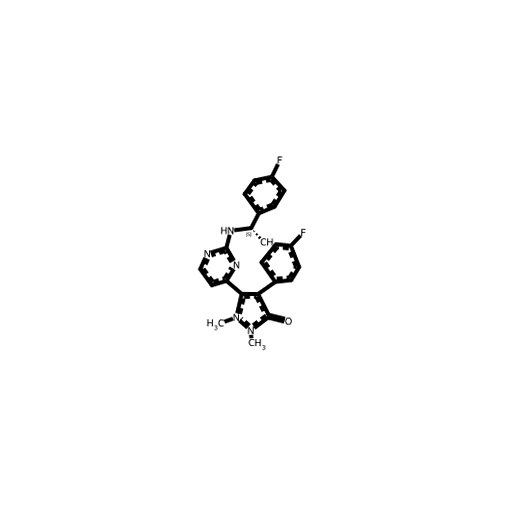 C[C@H](Nc1nccc(-c2c(-c3ccc(F)cc3)c(=O)n(C)n2C)n1)c1ccc(F)cc1